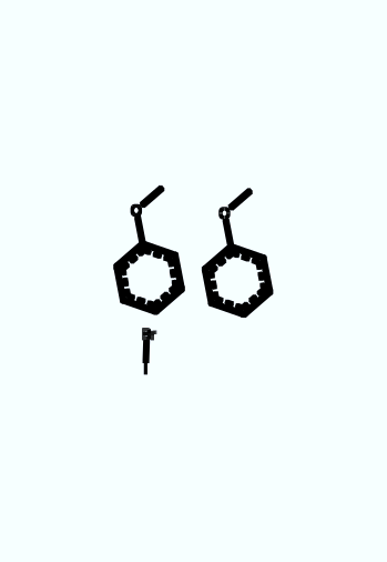 BrI.COc1ccccc1.COc1ccccc1